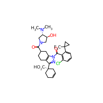 CN(C)[C@H]1CN(C(=O)C2CCc3c([C@@]4(C(=O)O)CC=CCC4)nn(C(=O)c4c(Cl)cccc4C4(C(F)(F)F)CC4)c3C2)C[C@@H]1O